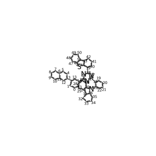 c1cc(-c2ccc3ccccc3c2)cc(-c2nc(-c3ccccc3-n3c4ccccc4c4ccccc43)nc(-c3cccc4c3sc3ccccc34)n2)c1